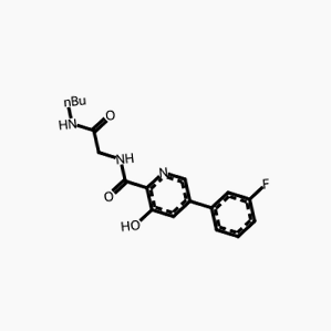 CCCCNC(=O)CNC(=O)c1ncc(-c2cccc(F)c2)cc1O